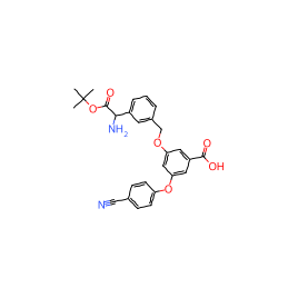 CC(C)(C)OC(=O)C(N)c1cccc(COc2cc(Oc3ccc(C#N)cc3)cc(C(=O)O)c2)c1